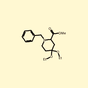 CCOC1(OCC)CCN(Cc2ccccc2)C(C(=O)OC)C1